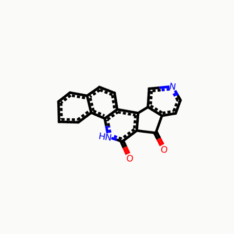 O=C1c2ccncc2-c2c1c(=O)[nH]c1c2ccc2ccccc21